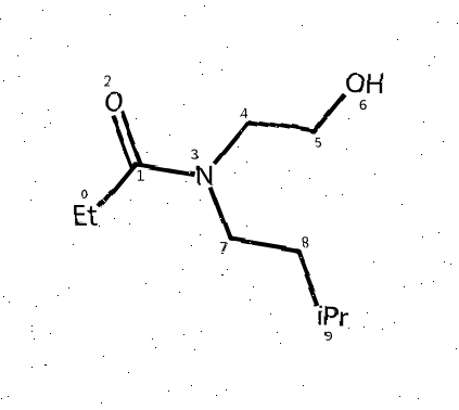 CCC(=O)N(CCO)CCC(C)C